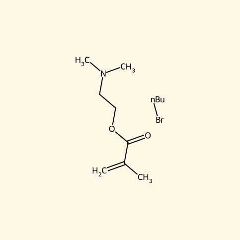 C=C(C)C(=O)OCCN(C)C.CCCCBr